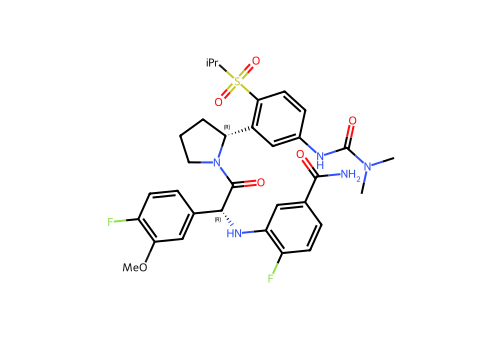 COc1cc([C@@H](Nc2cc(C(N)=O)ccc2F)C(=O)N2CCC[C@@H]2c2cc(NC(=O)N(C)C)ccc2S(=O)(=O)C(C)C)ccc1F